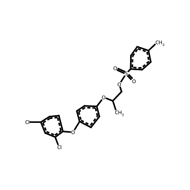 Cc1ccc(S(=O)(=O)OCC(C)Oc2ccc(Oc3ccc(Cl)cc3Cl)cc2)cc1